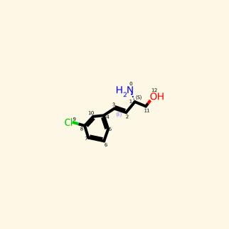 N[C@@H](/C=C/c1cccc(Cl)c1)CO